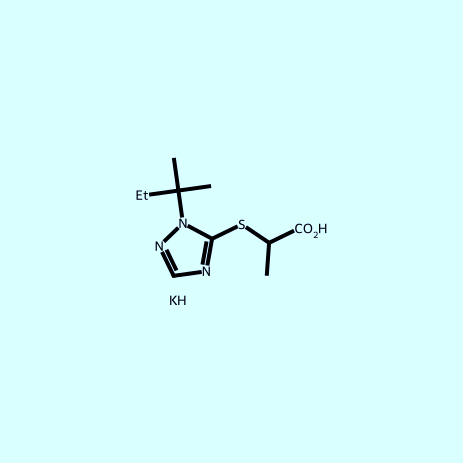 CCC(C)(C)n1ncnc1SC(C)C(=O)O.[KH]